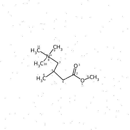 COC(=O)CC(C)C[N+](C)(C)C